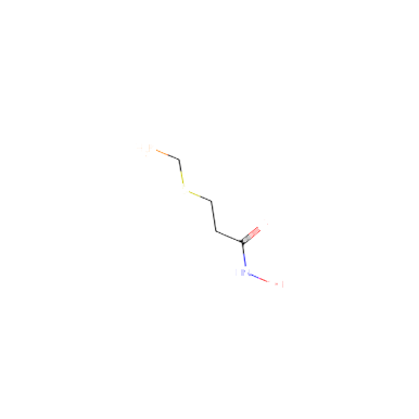 O=C(CCSCP)NO